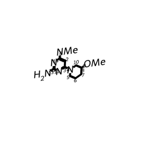 CNc1cc(N2CCCC(OC)C2)nc(N)n1